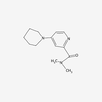 CN(C)C(=O)c1cc(N2CCCCC2)ccn1